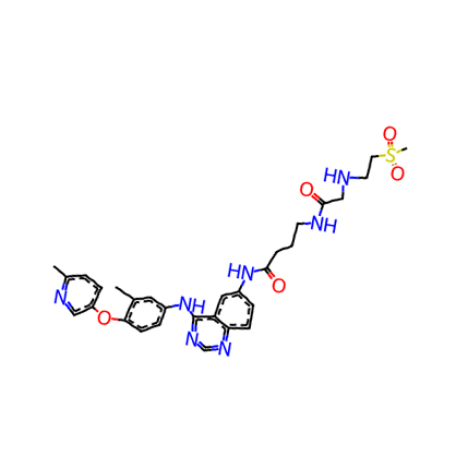 Cc1ccc(Oc2ccc(Nc3ncnc4ccc(NC(=O)CCCNC(=O)CNCCS(C)(=O)=O)cc34)cc2C)cn1